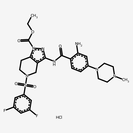 CCOC(=O)n1nc(NC(=O)c2ccc(N3CCN(C)CC3)cc2N)c2c1CCN(S(=O)(=O)c1cc(F)cc(F)c1)C2.Cl